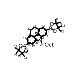 CCCCCCCCn1c2cc(B3OC(C)(C)C(C)(C)O3)cc3c2c2c(cc(B4OC(C)(C)C(C)(C)O4)cc21)CC3